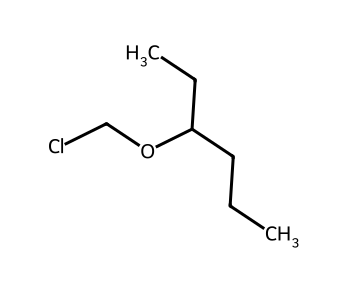 CCCC(CC)OCCl